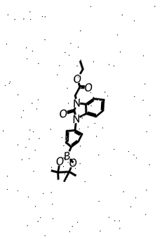 CCOC(=O)Cn1c(=O)n(-c2ccc(B3OC(C)(C)C(C)(C)O3)cc2)c2ccccc21